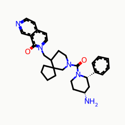 N[C@@H]1CCN(C(=O)N2CCC(Cn3ccc4ccncc4c3=O)C3(CCCC3)C2)[C@H](c2ccccc2)C1